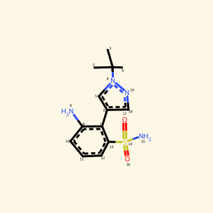 CC(C)(C)n1cc(-c2c(N)cccc2S(N)(=O)=O)cn1